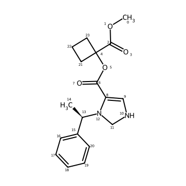 COC(=O)C1(OC(=O)C2=CNCN2[C@H](C)c2ccccc2)CCC1